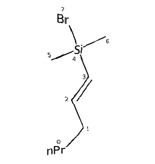 CCCC/C=C/[Si](C)(C)Br